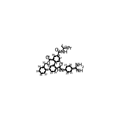 CC(C)C(C)NC(=O)c1ccc(-c2ccccc2C(=O)Nc2ccc(C(=N)N)cc2)c(C(=O)OCc2ccccc2)c1